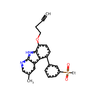 C#CCCOc1ccc(-c2cccc(S(=O)(=O)CC)c2)c2c1[nH]c1ncc(C)cc12